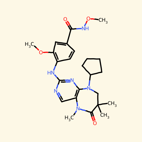 CONC(=O)c1ccc(Nc2ncc3c(n2)N(C2CCCC2)CC(C)(C)C(=O)N3C)c(OC)c1